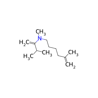 C=C(C)CCCCN(C)C(=C)C(C)C